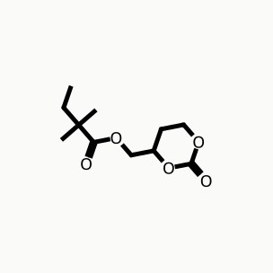 CCC(C)(C)C(=O)OCC1CCOC(=O)O1